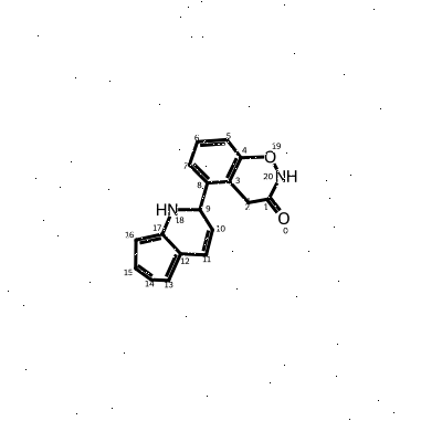 O=C1[CH]c2c(cccc2C2C=Cc3ccccc3N2)ON1